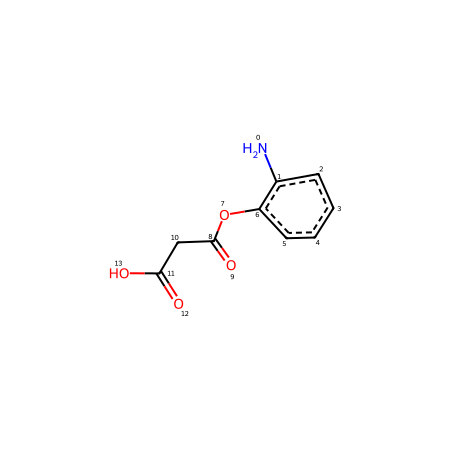 Nc1ccccc1OC(=O)CC(=O)O